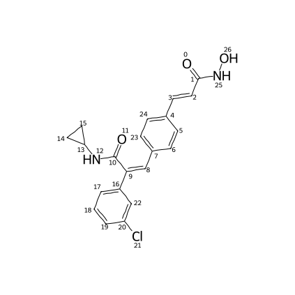 O=C(/C=C/c1ccc(C=C(C(=O)NC2CC2)c2cccc(Cl)c2)cc1)NO